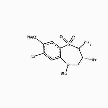 COc1cc2c(cc1Cl)N(C(C)(C)C)C[C@@H](C(C)C)N(C)S2(=O)=O